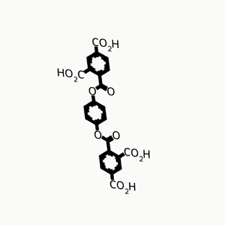 O=C(O)c1ccc(C(=O)Oc2ccc(OC(=O)c3ccc(C(=O)O)cc3C(=O)O)cc2)c(C(=O)O)c1